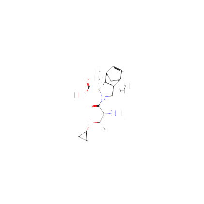 C[C@@H](OC1CC1)[C@H](N)C(=O)N1C[C@H]2[C@@H]([C@H]1C(=O)O)[C@H]1C=C[C@@H]2C1